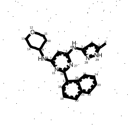 Cc1cc(Nc2cc(NC3CCOCC3)nc(-c3cccc4ccccc34)n2)n[nH]1